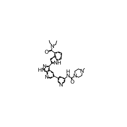 CCN(CC)C(=O)c1cccc2[nH]c(-c3n[nH]c4ncc(-c5cncc(NC(=O)N6CCN(C)CC6)c5)cc34)cc12